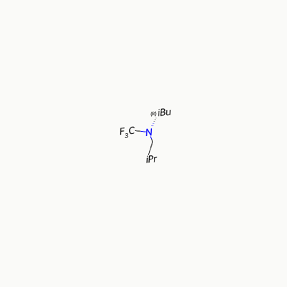 CC[C@@H](C)N(CC(C)C)C(F)(F)F